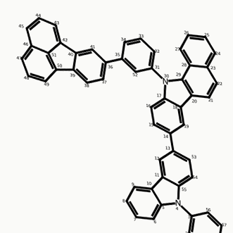 c1ccc(-n2c3ccccc3c3cc(-c4ccc5c(c4)c4ccc6ccccc6c4n5-c4cccc(-c5ccc6c(c5)-c5cccc7cccc-6c57)c4)ccc32)cc1